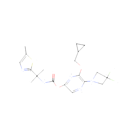 Cc1cnc(C(C)(C)NC(=O)Oc2cnc(N3CC(F)(F)C3)c(OCC3CC3)n2)s1